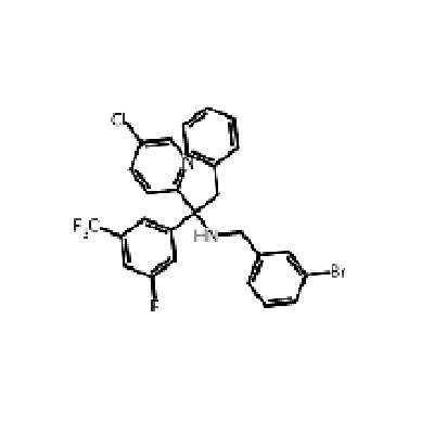 Fc1cc(C(F)(F)F)cc(C(Cc2ccccc2)(NCc2cccc(Br)c2)c2ccc(Cl)cn2)c1